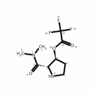 CN(C)C(=O)[C@H]1NCC[C@@H]1OC(=O)C(F)(F)F